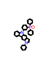 O=P(c1ccccc1)(c1ccccc1)c1cccc(-n2c3ccccc3c3cc4c(ccn4-c4ccccc4)cc32)c1